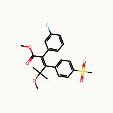 COC(=O)/C(=C(/c1ccc(S(C)(=O)=O)cc1)C(C)(C)OC)c1cccc(F)c1